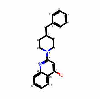 [O]c1cc(N2CCC(Cc3ccccc3)CC2)nc2ccccc12